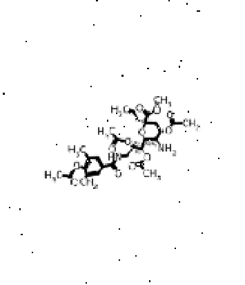 C=CC[C@]1(C(=O)OC)C[C@H](OC(C)=O)[C@@H](N)[C@H]([C@H](OC(C)=O)[C@@H](CNC(=O)c2cc(C)c(OC(C)=O)c(C)c2)OC(C)=O)O1